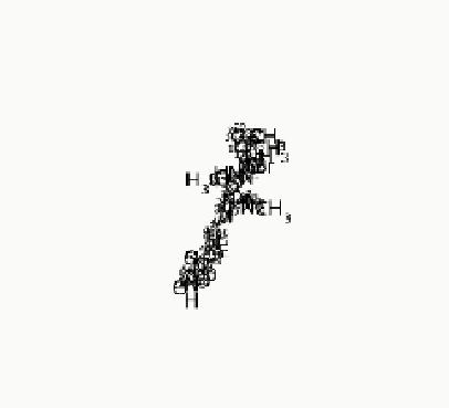 CCn1cc(-c2cc(Nc3ncc(Br)c(Nc4ccc5ccccc5c4P(C)C)n3)c(OC)cc2N2CCN(CCC3CCN(c4cc5c(cc4F)C(=O)N(C4CCC(=O)NC4=O)C5=O)CC3)CC2)cn1